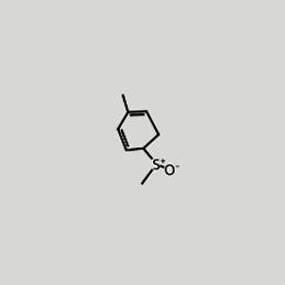 CC1=CCC([S+](C)[O-])C=C1